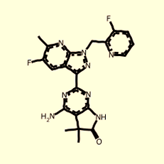 Cc1nc2c(cc1F)c(-c1nc(N)c3c(n1)NC(=O)C3(C)C)nn2Cc1ncccc1F